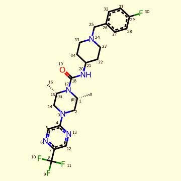 C[C@@H]1CN(c2cnc(C(F)(F)F)cn2)C[C@H](C)N1C(=O)NC1CCN(Cc2ccc(F)cc2)CC1